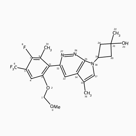 COCOc1cc(C(F)(F)F)c(F)c(C)c1-c1cc2c(C)cn(C3CC(C)(O)C3)c2nn1